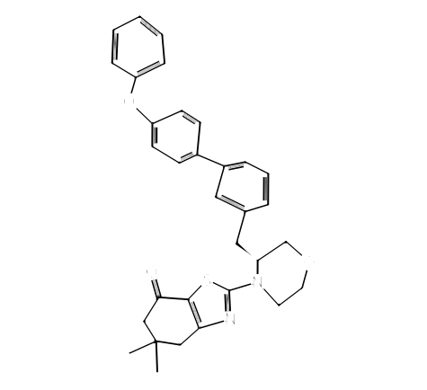 CC1(C)CC(=O)c2sc(N3CCOC[C@@H]3Cc3cccc(-c4ccc(Oc5ccccc5)cc4)c3)nc2C1